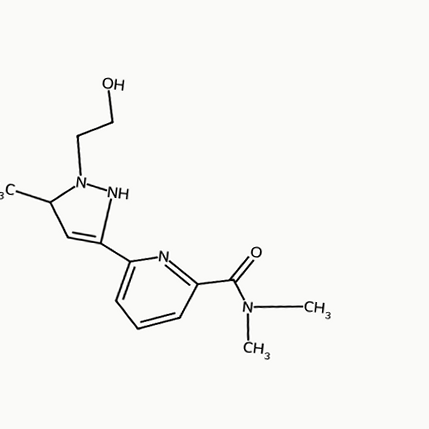 CN(C)C(=O)c1cccc(C2=CC(C(F)(F)F)N(CCO)N2)n1